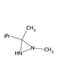 CC(C)C1(C)NN1C